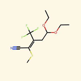 CCOC(C/C(=C(/C#N)SC)C(F)(F)F)OCC